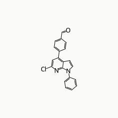 O=Cc1ccc(-c2cc(Cl)nc3c2ccn3-c2ccccc2)cc1